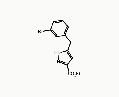 CCOC(=O)c1cc(Cc2cccc(Br)c2)[nH]n1